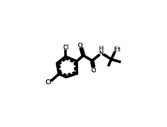 CCC(C)(C)NC(=O)C(=O)c1ccc(Cl)cc1Cl